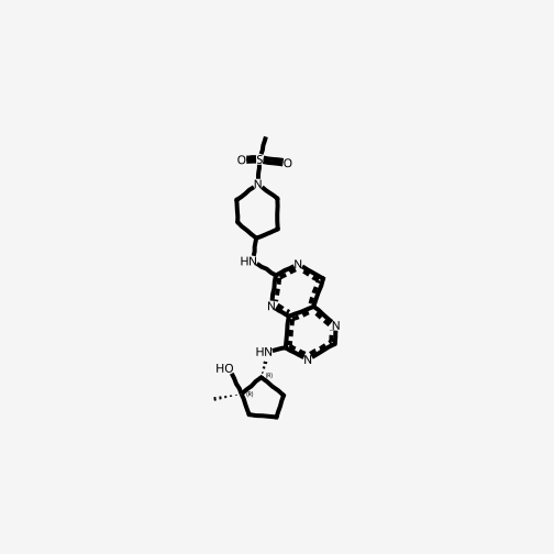 C[C@@]1(O)CCC[C@H]1Nc1ncnc2cnc(NC3CCN(S(C)(=O)=O)CC3)nc12